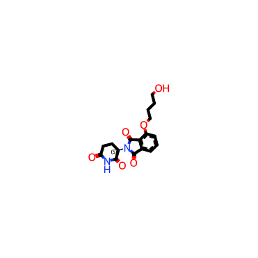 O=C1CC[C@H](N2C(=O)c3cccc(OCCCCO)c3C2=O)C(=O)N1